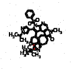 CC(C)n1cc(-c2c(-c3ccc4c(cnn4C)c3)c3c4c(cnc3n2S(=O)(=O)c2ccccc2)N(C)C(=O)C42CCCN(C(=O)OC(C)(C)C)CC2)cn1